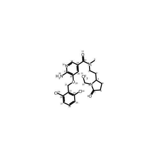 CN(CCC1CCC(=O)N1CC(F)(F)F)C(=O)c1cnc(N)c(OCc2c(Cl)cccc2Cl)c1